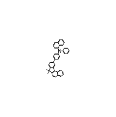 CC1(C)c2ccc(-c3ccc(N(c4ccccc4)c4cccc5ccccc45)cc3)cc2-c2c1ccc1ccccc21